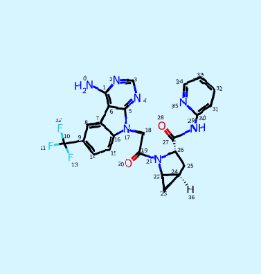 Nc1ncnc2c1c1cc(C(F)(F)F)ccc1n2CC(=O)N1C2C[C@@H]2C[C@H]1C(=O)Nc1ccccn1